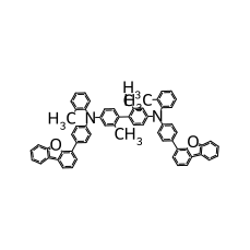 Cc1cc(N(c2ccc(-c3cccc4c3oc3ccccc34)cc2)c2ccccc2C)ccc1-c1ccc(N(c2ccc(-c3cccc4c3oc3ccccc34)cc2)c2ccccc2C)cc1C